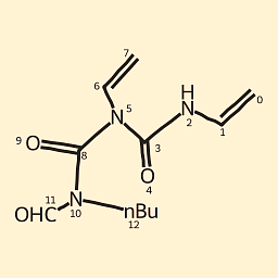 C=CNC(=O)N(C=C)C(=O)N(C=O)CCCC